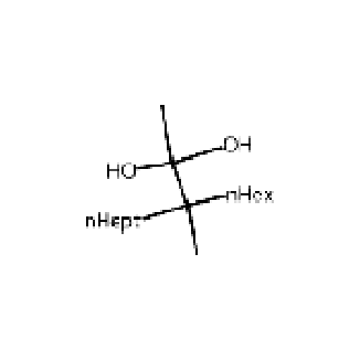 CCCCCCCC(C)(CCCCCC)C(C)(O)O